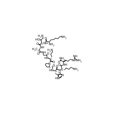 C[C@H](NC(=O)[C@@H](NC(=O)C(N)CCCCCN)[C@@H](O)CN)C(=O)NCC(=O)N[C@H](CCCN)C(=O)N1CCC[C@H]1C(=O)N[C@@H](Cc1cnc[nH]1)C(=O)N[C@@H](CCCCN)C(=O)N/C(=C\CCNC(=N)N)C(N)=O